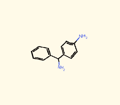 Nc1ccc(C(N)c2ccccc2)cc1